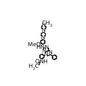 C=CC(=O)Nc1cccc(N2CC(c3ccccc3)=Nc3cnc(Nc4ccc(N5CCC(N6CCN(C)CC6)CC5)cc4OC)nc32)c1